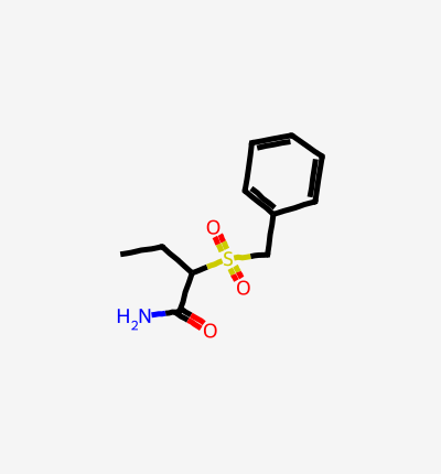 CCC(C(N)=O)S(=O)(=O)Cc1ccccc1